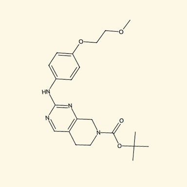 COCCOc1ccc(Nc2ncc3c(n2)CN(C(=O)OC(C)(C)C)CC3)cc1